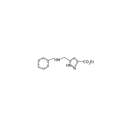 CCOC(=O)c1cc(CNCc2ccccc2)[nH]n1